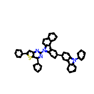 c1ccc(-c2cc3nc(-n4c5ccc(-c6ccc7c(c6)c6ccccc6n7-c6ccccc6)cc5c5c6ccccc6ccc54)nc(-c4ccccc4)c3s2)cc1